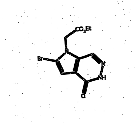 CCOC(=O)Cn1c(Br)cc2c(=O)[nH]ncc21